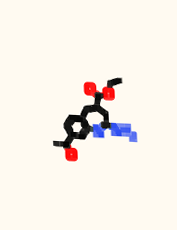 CCOC(=O)C1=Cc2ccc(C(C)=O)cc2N=C(N)C1